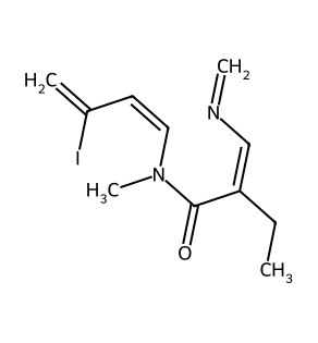 C=N/C=C(/CC)C(=O)N(C)/C=C\C(=C)I